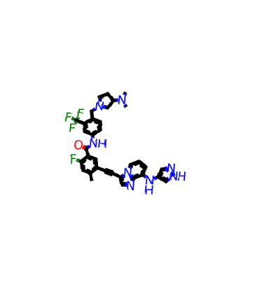 Cc1cc(F)c(C(=O)Nc2ccc(CN3CCC(N(C)C)C3)c(C(F)(F)F)c2)cc1C#Cc1cnc2c(Nc3cn[nH]c3)cccn12